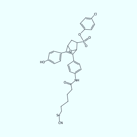 N#C[Se]CCCCCC(=O)Nc1ccc(C2=C(c3ccc(O)cc3)C3CC(S(=O)(=O)Oc4ccc(Cl)cc4)C2O3)cc1